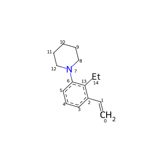 C=Cc1cccc(N2CCCCC2)c1CC